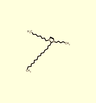 CCCCCCCCCCCCCCCC1N(CCCCC)C=CN1CCCCCCCC